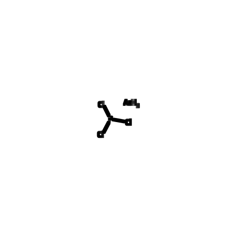 ClP(Cl)Cl.[AsH3]